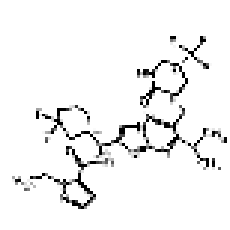 CCn1nccc1C(=O)N[C@H](c1cn2nc(C[C@H]3C[C@@H](C(F)(F)F)CNC3=O)c(C(C)C)nc2n1)[C@H]1CCCC(F)(F)C1